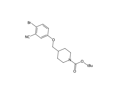 CC(C)(C)OC(=O)N1CCC(COc2ccc(Br)c(C#N)c2)CC1